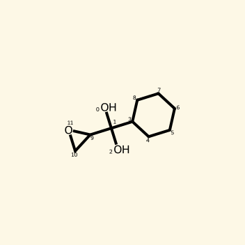 OC(O)(C1CCCCC1)C1CO1